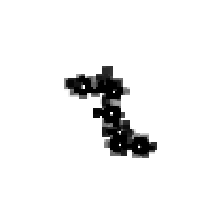 O=C(Nc1ccc(Oc2ccnc3[nH]nc(CC4CCNCC4)c23)c(F)c1)c1ccnn(-c2ccc(F)cc2)c1=O